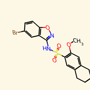 COc1cc2c(cc1S(=O)(=O)Nc1noc3ccc(Br)cc13)CCCC2